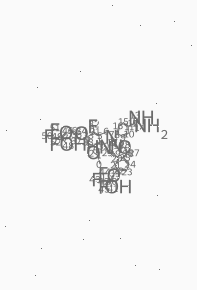 CCOc1cc(CN(c2ccc(C(=N)N)cc2)c2nc(-c3ccccc3C(C)=O)c[nH]2)c(F)c(OC(C)C)c1.O=C(O)C(F)(F)F.O=C(O)C(F)(F)F